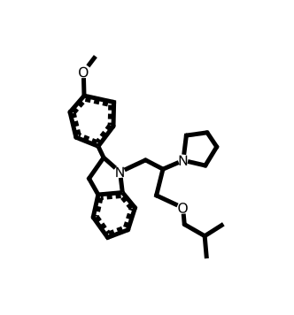 COc1ccc(C2Cc3ccccc3N2CC(COCC(C)C)N2CCCC2)cc1